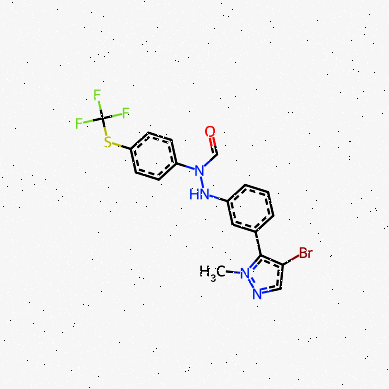 Cn1ncc(Br)c1-c1cccc(NN(C=O)c2ccc(SC(F)(F)F)cc2)c1